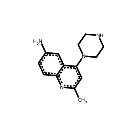 Cc1cc(N2CCNCC2)c2cc(N)ccc2n1